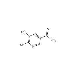 CC(=O)c1cnc(Cl)c(O)c1